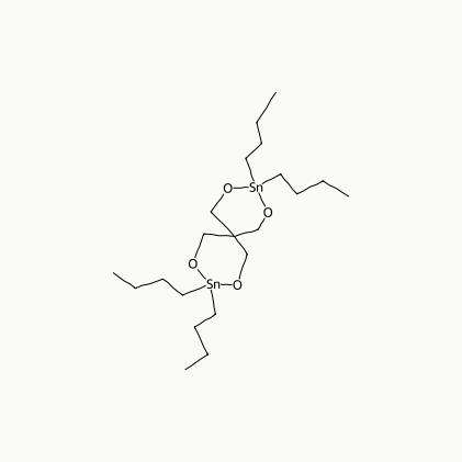 CCC[CH2][Sn]1([CH2]CCC)[O]CC2(C[O]1)C[O][Sn]([CH2]CCC)([CH2]CCC)[O]C2